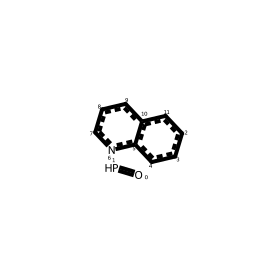 O=P.c1ccc2ncccc2c1